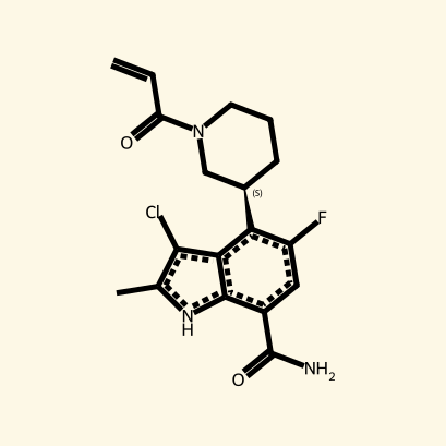 C=CC(=O)N1CCC[C@@H](c2c(F)cc(C(N)=O)c3[nH]c(C)c(Cl)c23)C1